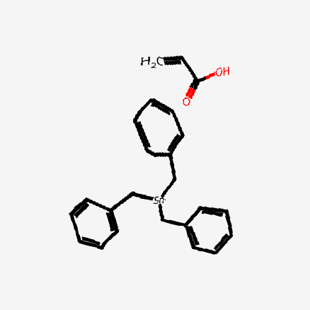 C=CC(=O)O.c1ccc([CH2][Sn]([CH2]c2ccccc2)[CH2]c2ccccc2)cc1